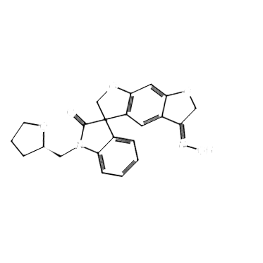 O=C1N(C[C@H]2CCCO2)c2ccccc2C12COc1cc3c(cc12)C(=NO)CO3